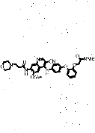 CNC(=O)COc1ccccc1Oc1ccc(Nc2c(C#N)cnc3cc(NC(=O)CCN4CCOCC4)c(OC)cc23)cc1